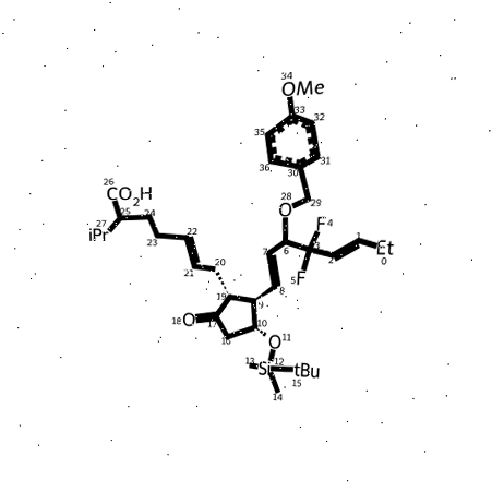 CCC=CC(F)(F)C(C=C[C@H]1[C@H](O[Si](C)(C)C(C)(C)C)CC(=O)[C@@H]1CC=CCCC(C(=O)O)C(C)C)OCc1ccc(OC)cc1